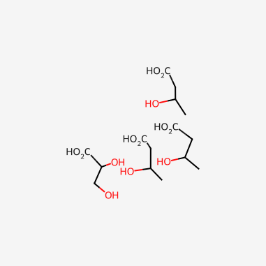 CC(O)CC(=O)O.CC(O)CC(=O)O.CC(O)CC(=O)O.O=C(O)C(O)CO